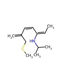 C=C(/C=C\C(=C/C)NC(C)C)CSC